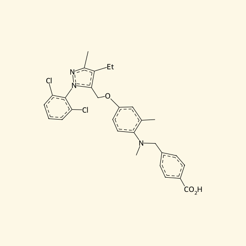 CCc1c(C)nn(-c2c(Cl)cccc2Cl)c1COc1ccc(N(C)Cc2ccc(C(=O)O)cc2)c(C)c1